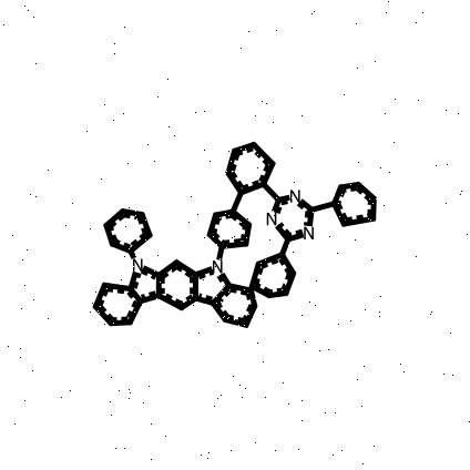 c1ccc(-c2nc(-c3ccccc3)nc(-c3ccccc3-c3ccc(-n4c5ccccc5c5cc6c7ccccc7n(-c7ccccc7)c6cc54)cc3)n2)cc1